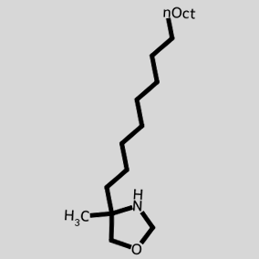 CCCCCCCCCCCCCCCCC1(C)COCN1